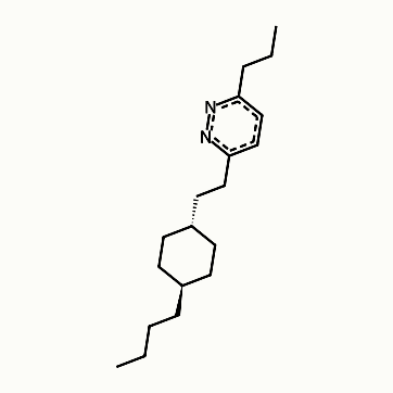 CCCC[C@H]1CC[C@H](CCc2ccc(CCC)nn2)CC1